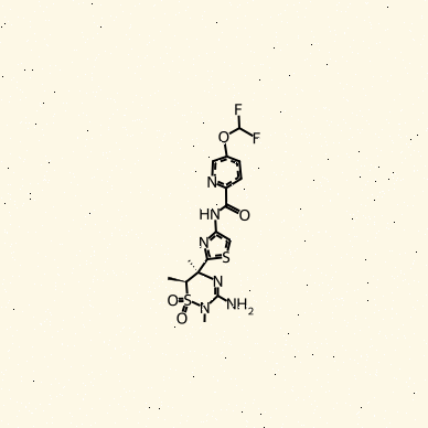 C[C@H]1[C@@](C)(c2nc(NC(=O)c3ccc(OC(F)F)cn3)cs2)N=C(N)N(C)S1(=O)=O